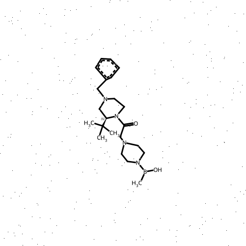 CB(O)N1CCN(CC(=O)N2CCN(Cc3ccccc3)C[C@@H]2C(C)(C)C)CC1